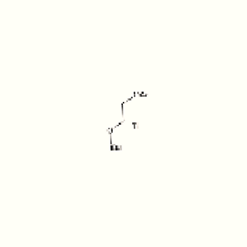 CCC(C)OCCOC(C)=O.[Ti]